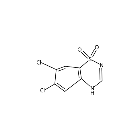 O=S1(=O)N=CNc2cc(Cl)c(Cl)cc21